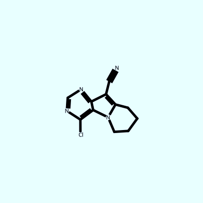 N#Cc1c2n(c3c(Cl)ncnc13)CCCC2